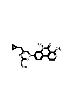 Cc1nccc2c1c(=O)n(C)c1cc(OC[C@H](CC3CC3)NC(=O)OC(C)(C)C)ccc21